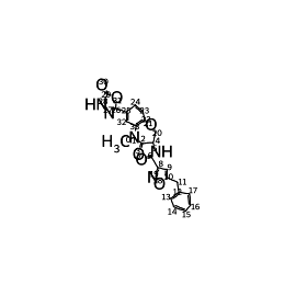 CN1C(=O)C(NC(=O)c2cc(Cc3ccccc3)on2)COc2ccc(-c3n[nH]c(=O)o3)cc21